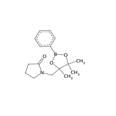 CC1(C)OB(c2ccccc2)OC1(C)CN1CCCC1=O